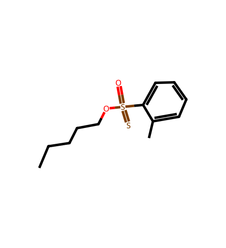 CCCCCOS(=O)(=S)c1ccccc1C